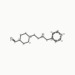 O=CC1CCN(CCNCc2ccncc2)CC1